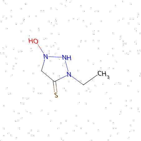 CCN1NN(O)CC1=S